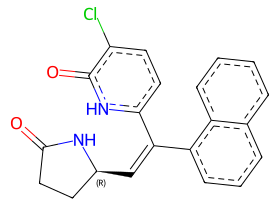 O=C1CC[C@H](C=C(c2ccc(Cl)c(=O)[nH]2)c2cccc3ccccc23)N1